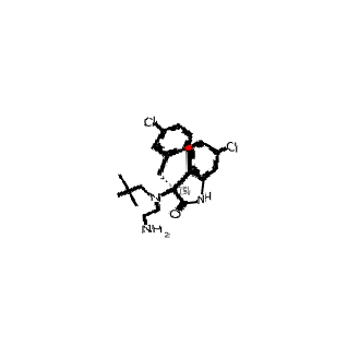 CC(C)(C)CN(CCN)[C@]1(Cc2cccc(Cl)c2)C(=O)Nc2cc(Cl)ccc21